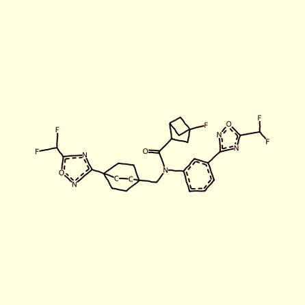 O=C(C1CC2(F)CC1C2)N(CC12CCC(c3noc(C(F)F)n3)(CC1)CC2)c1cccc(-c2noc(C(F)F)n2)c1